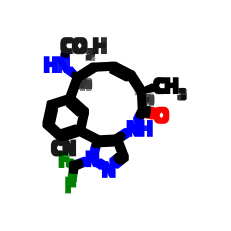 C[C@@H]1C=CC[C@H](NC(=O)O)c2ccc(C#N)c(c2)-c2c(cnn2C(F)F)NC1=O